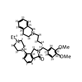 CCN1CCN(c2cccc3c2CN([C@H](CCCN2CCc4ccccc4C2)c2ccc(OC)c(OC)c2)C3=O)CC1